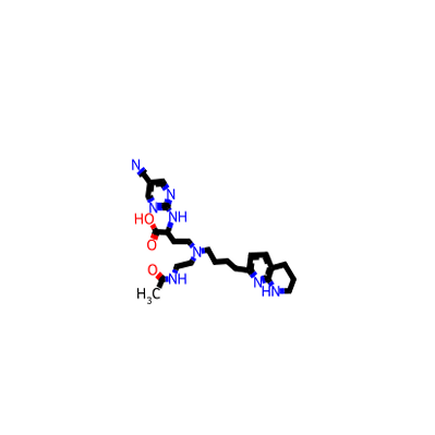 CC(=O)NCCN(CCCCc1ccc2c(n1)NCCC2)CCC(Nc1ncc(C#N)cn1)C(=O)O